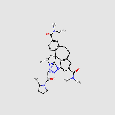 CC(C)[C@H](CC1(c2nnn[nH]2)c2ccc(C(=O)N(C)C)cc2CCc2cc(C(=O)N(C)C)ccc21)NCC(=O)N1CCCC1C#N